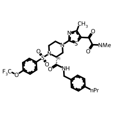 CCCc1ccc(CNC(=O)[C@H]2CN(c3nc(C)c(C(=O)C(=O)NC)s3)CCN2S(=O)(=O)c2ccc(OC(F)(F)F)cc2)cc1